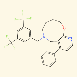 FC(F)(F)c1cc(CN2CCCCOc3nccc(-c4ccccc4)c3C2)cc(C(F)(F)F)c1